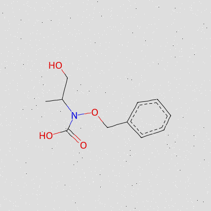 CC(CO)N(OCc1ccccc1)C(=O)O